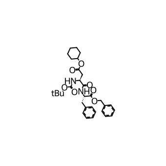 CC(C)(C)OC(=O)N[C@@H](CC(=O)OC1CCCCC1)C(=O)N[C@@H](Cc1ccccc1)C(=O)OCc1ccccc1